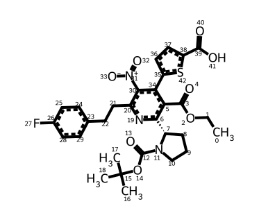 CCOC(=O)c1c([C@@H]2CCCN2C(=O)OC(C)(C)C)nc(CCc2ccc(F)cc2)c([N+](=O)[O-])c1-c1ccc(C(=O)O)s1